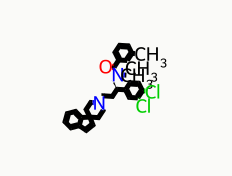 Cc1cccc(C(=O)N(C)C[C@@H](CCN2CCC3(C=Cc4ccccc43)CC2)c2ccc(Cl)c(Cl)c2)c1C